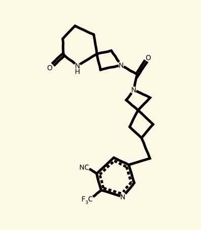 N#Cc1cc(CC2CC3(C2)CN(C(=O)N2CC4(CCCC(=O)N4)C2)C3)cnc1C(F)(F)F